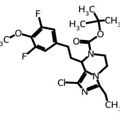 CCc1nc(Cl)c2n1CCN(C(=O)OC(C)(C)C)C2CCc1cc(F)c(OC)c(F)c1